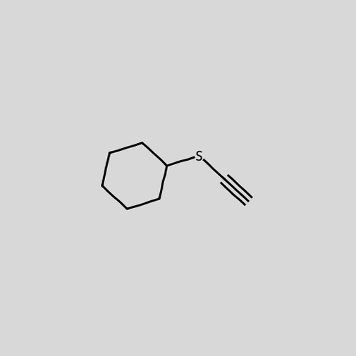 C#CSC1CCCCC1